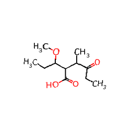 CCC(=O)C(C)C(C(=O)O)C(CC)OC